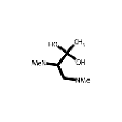 CNCC(NC)C(C)(O)O